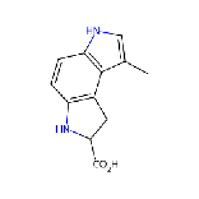 Cc1c[nH]c2ccc3c(c12)CC(C(=O)O)N3